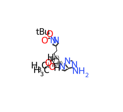 CC(C)(C)OC(=O)n1cc(CC[C@H]2C[C@@H](n3ccc4c(N)ncnc43)[C@@H]3OC(C)(C)O[C@H]23)cn1